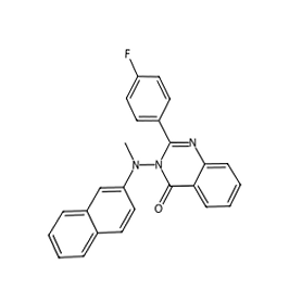 CN(c1ccc2ccccc2c1)n1c(-c2ccc(F)cc2)nc2ccccc2c1=O